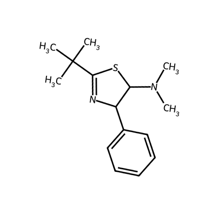 CN(C)C1SC(C(C)(C)C)=NC1c1ccccc1